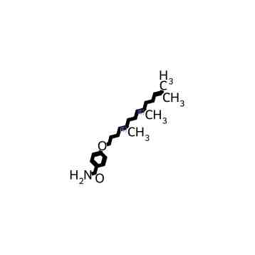 CC(C)=CCC/C(C)=C/CC/C(C)=C/CCCOc1ccc(C(N)=O)cc1